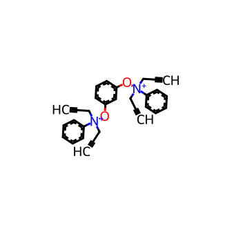 C#CC[N+](CC#C)(Oc1cccc(O[N+](CC#C)(CC#C)c2ccccc2)c1)c1ccccc1